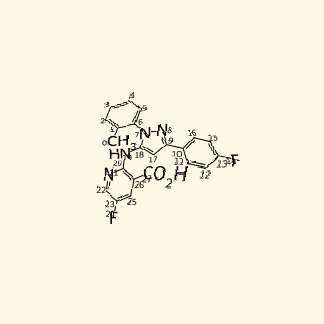 Cc1ccccc1-n1nc(-c2ccc(F)cc2)cc1Nc1ncc(F)cc1C(=O)O